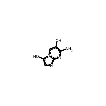 Nc1nc2ncc(O)n2cc1O